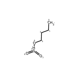 [CH2]CCCO[SH](=O)=O